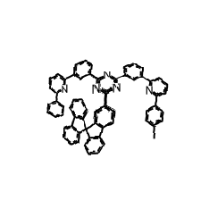 Cc1ccc(-c2cccc(-c3cccc(-c4nc(-c5cccc(-c6cccc(-c7ccccc7)n6)c5)nc(-c5ccc6c(c5)C5(c7ccccc7-c7ccccc75)c5ccccc5-6)n4)c3)n2)cc1